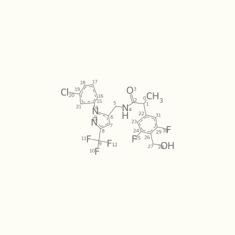 CC(C(=O)NCc1cc(C(F)(F)F)nn1-c1cccc(Cl)c1)c1cc(F)c(CO)c(F)c1